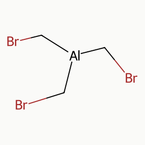 Br[CH2][Al]([CH2]Br)[CH2]Br